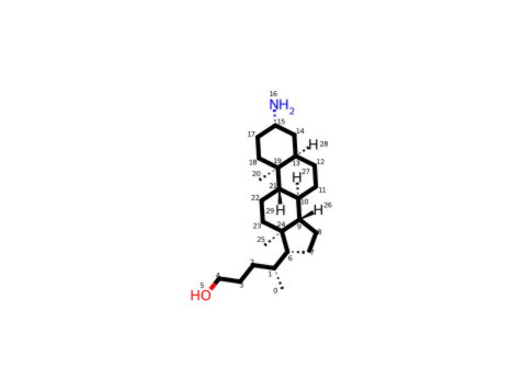 C[C@H](CCCO)[C@H]1CC[C@H]2[C@@H]3CC[C@@H]4C[C@@H](N)CC[C@]4(C)[C@H]3CC[C@]12C